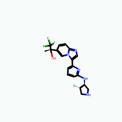 C[C@](O)(c1ccc2ncc(-c3cccc(N[C@H]4CNC[C@@H]4F)n3)n2c1)C(F)(F)F